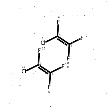 FC(F)=C(F)Cl.FC(F)=C(F)Cl